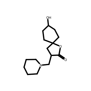 O=C1OC2(CCC(O)CC2)CC1CN1CCCCC1